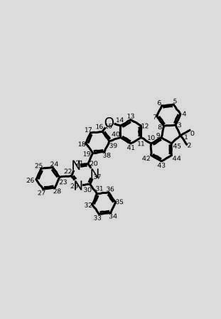 CC1(C)c2ccccc2-c2c(-c3ccc4oc5ccc(-c6nc(-c7ccccc7)nc(-c7ccccc7)n6)cc5c4c3)cccc21